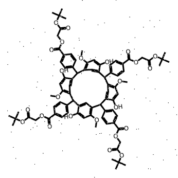 COc1cc(O)c2cc1C(c1ccc(C(=O)OCC(=O)OC(C)(C)C)cc1)c1cc(c(OC)cc1O)C(c1ccc(C(=O)OCC(=O)OC(C)(C)C)cc1)c1cc(c(OC)cc1O)C(c1ccc(C(=O)OCC(=O)OC(C)(C)C)cc1)c1cc(c(OC)cc1O)C2c1ccc(C(=O)OCC(=O)OC(C)(C)C)cc1